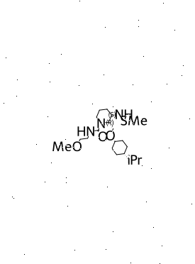 COCCNC(=O)N1CCC[C@H](NSC)[C@@H]1CO[C@H]1CC[C@@H](C(C)C)CC1